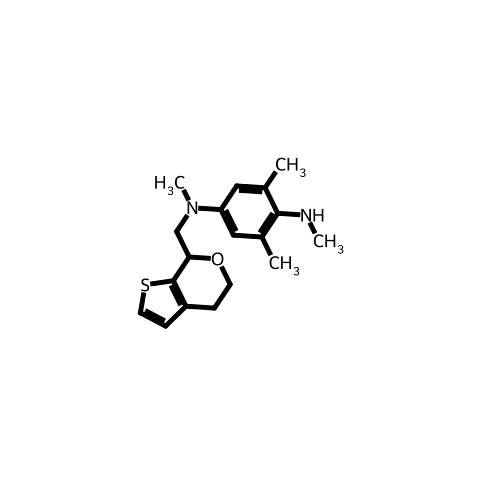 CNc1c(C)cc(N(C)CC2OCCc3ccsc32)cc1C